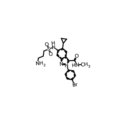 CNC(=O)c1c2cc(C3CC3)c(NS(=O)(=O)CCCN)cc2nn1-c1ccc(Br)cc1